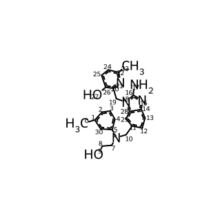 Cc1cccc(N(CCO)Cc2ccc3nc(N)n(Cc4nc(C)ccc4O)c3c2)c1